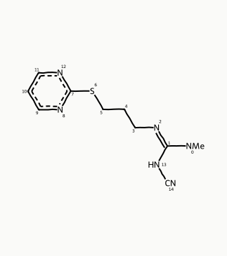 CNC(=NCCCSc1ncccn1)NC#N